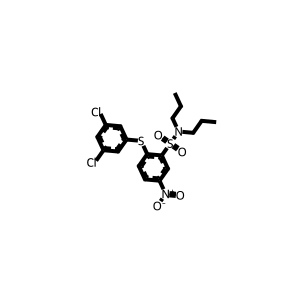 CCCN(CCC)S(=O)(=O)c1cc([N+](=O)[O-])ccc1Sc1cc(Cl)cc(Cl)c1